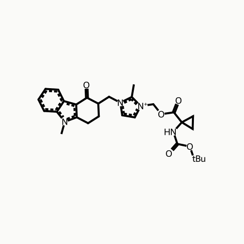 Cc1n(CC2CCc3c(c4ccccc4n3C)C2=O)cc[n+]1COC(=O)C1(NC(=O)OC(C)(C)C)CC1